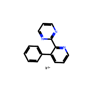 [Ir+3].c1ccc(-c2cccnc2-c2ncccn2)cc1